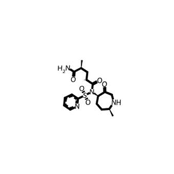 C[C@H]1CC[C@@H](N(C(=O)[CH]C[C@H](C)C(N)=O)S(=O)(=O)c2ccccn2)C(=O)CN1